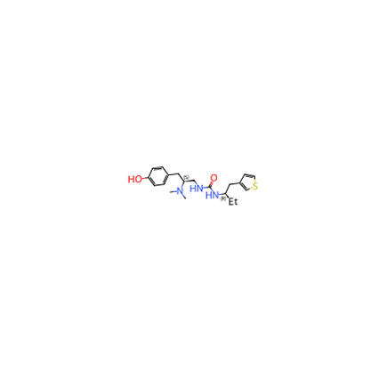 CC[C@H](Cc1ccsc1)NC(=O)NC[C@H](Cc1ccc(O)cc1)N(C)C